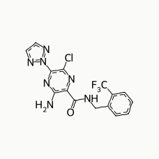 Nc1nc(-n2nccn2)c(Cl)nc1C(=O)NCc1ccccc1C(F)(F)F